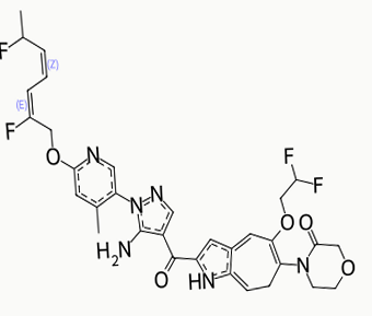 Cc1cc(OC/C(F)=C\C=C/C(C)F)ncc1-n1ncc(C(=O)c2cc3c([nH]2)=CCC(N2CCOCC2=O)=C(OCC(F)F)C=3)c1N